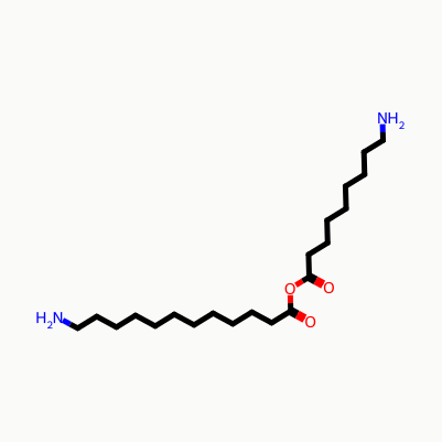 NCCCCCCCCCCCC(=O)OC(=O)CCCCCCCCN